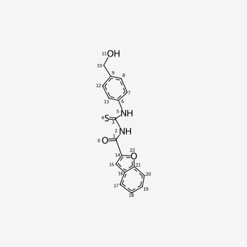 O=C(NC(=S)Nc1ccc(CO)cc1)c1cc2ccccc2o1